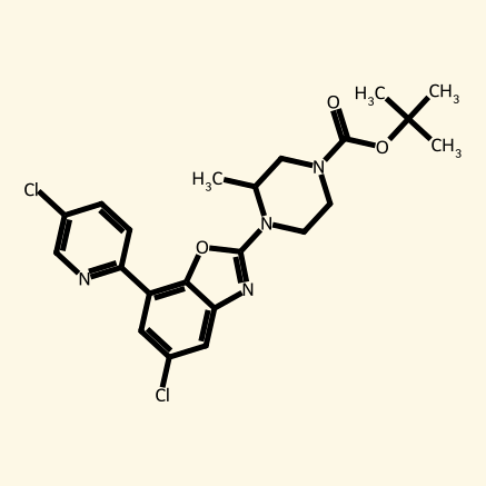 CC1CN(C(=O)OC(C)(C)C)CCN1c1nc2cc(Cl)cc(-c3ccc(Cl)cn3)c2o1